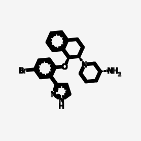 N[C@@H]1CCCN([C@H]2CCc3ccccc3[C@@H]2Oc2ccc(Br)cc2-c2cc[nH]n2)C1